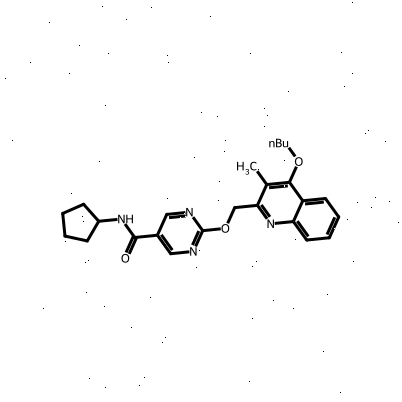 CCCCOc1c(C)c(COc2ncc(C(=O)NC3CCCC3)cn2)nc2ccccc12